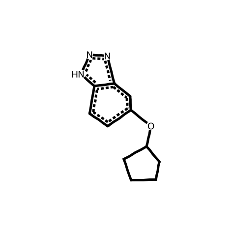 c1cc2[nH]nnc2cc1OC1CCCC1